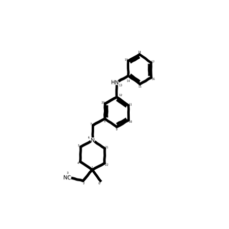 CC1(CC#N)CCN(Cc2cccc(Nc3ccccc3)c2)CC1